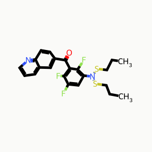 CCCSN(SCCC)c1cc(F)c(F)c(C(=O)c2ccc3ncccc3c2)c1F